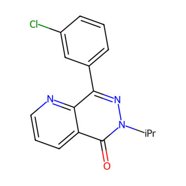 CC(C)n1nc(-c2cccc(Cl)c2)c2ncccc2c1=O